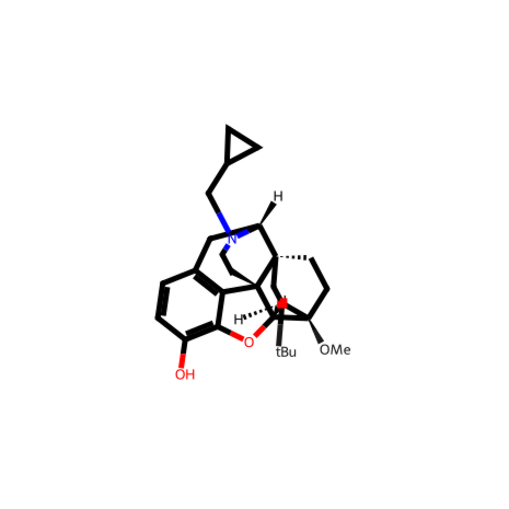 CO[C@]12CC[C@@]3(C[C@@H]1C(C)(C)C)[C@H]1Cc4ccc(O)c5c4[C@@]3(CCN1CC1CC1)[C@H]2O5